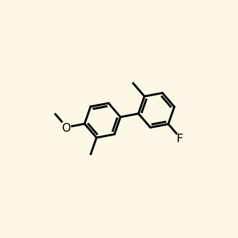 COc1ccc(-c2cc(F)ccc2C)cc1C